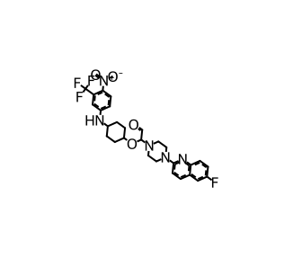 O=CC(OC1CCC(Nc2ccc([N+](=O)[O-])c(C(F)(F)F)c2)CC1)N1CCN(c2ccc3cc(F)ccc3n2)CC1